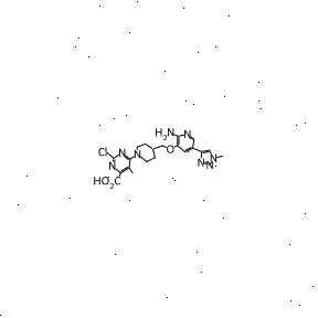 Cc1c(C(=O)O)nc(Cl)nc1N1CCC(COc2cc(-c3cn(C)nn3)cnc2N)CC1